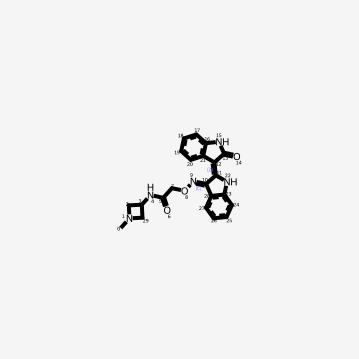 CN1CC(NC(=O)CO/N=C2/C(=C3/C(=O)Nc4ccccc43)Nc3ccccc32)C1